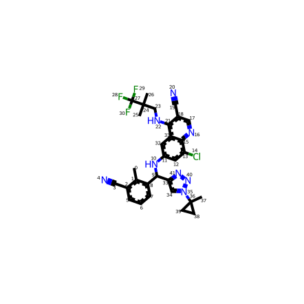 Cc1c(C#N)cccc1C(Nc1cc(Cl)c2ncc(C#N)c(NCC(C)(C)C(F)(F)F)c2c1)c1cn(C2(C)CC2)nn1